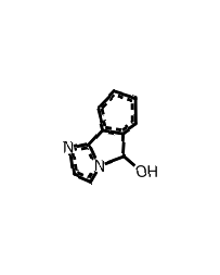 OC1c2ccccc2-c2nccn21